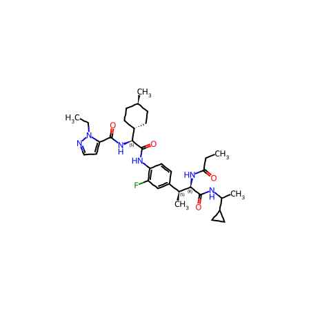 CCC(=O)N[C@@H](C(=O)NC(C)C1CC1)[C@@H](C)c1ccc(NC(=O)[C@@H](NC(=O)c2ccnn2CC)[C@H]2CC[C@H](C)CC2)c(F)c1